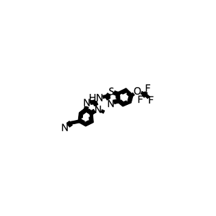 Cn1c(Nc2nc3ccc(OC(F)(F)F)cc3s2)nc2cc(C#N)ccc21